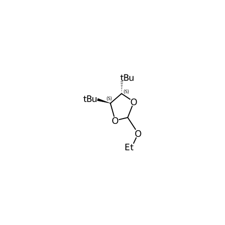 CCOC1O[C@@H](C(C)(C)C)[C@H](C(C)(C)C)O1